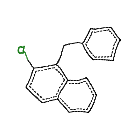 Clc1ccc2ccccc2c1Cc1ccccc1